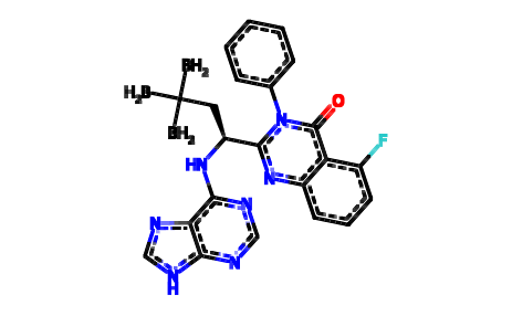 BC(B)(B)C[C@H](Nc1ncnc2[nH]cnc12)c1nc2cccc(F)c2c(=O)n1-c1ccccc1